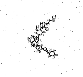 Nc1ncnc2c1c(-c1cccc(OCc3ccccc3)c1)cn2C1CCC(NC(=O)NCCCCl)CC1